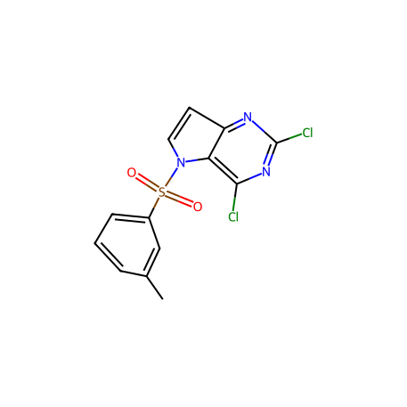 Cc1cccc(S(=O)(=O)n2ccc3nc(Cl)nc(Cl)c32)c1